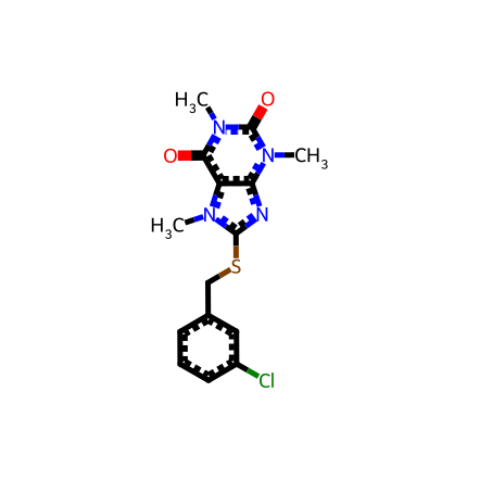 Cn1c(=O)c2c(nc(SCc3cccc(Cl)c3)n2C)n(C)c1=O